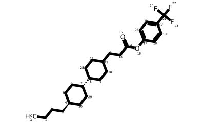 CCCC[C@H]1CC[C@H](C2CCC(CCC(=O)Oc3ccc(C(F)(F)F)cc3)CC2)CC1